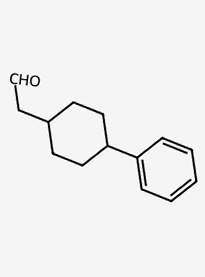 O=CCC1CCC(c2ccccc2)CC1